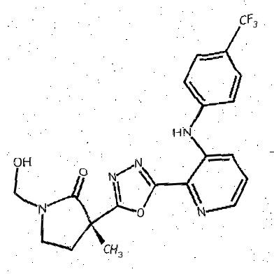 C[C@@]1(c2nnc(-c3ncccc3Nc3ccc(C(F)(F)F)cc3)o2)CCN(CO)C1=O